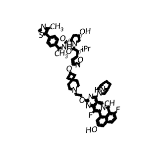 C#Cc1c(F)ccc2cc(O)cc(-c3ncc4c(N5CC6CCC(C5)N6)nc(OCCN5CCC6(CC5)CC(Oc5cc([C@@H](C(C)C)C(O)N7C[C@H](O)C[C@H]7C(=O)N[C@@H](C)c7ccc(-c8scnc8C)cc7)on5)C6)nc4c3F)c12